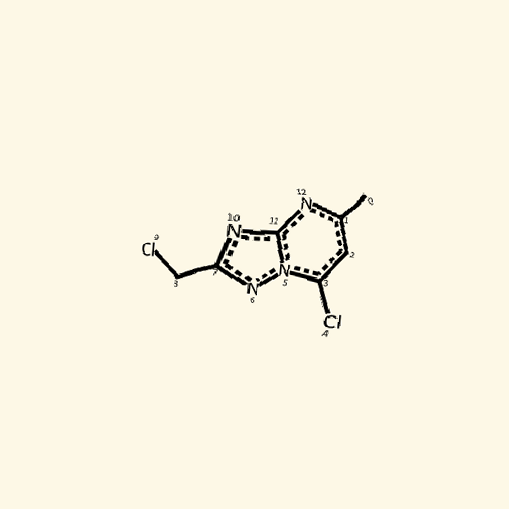 Cc1cc(Cl)n2nc(CCl)nc2n1